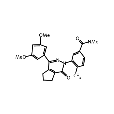 CNC(=O)c1ccc(C(F)(F)F)c(-n2nc(-c3cc(OC)cc(OC)c3)c3c(c2=O)CCC3)c1